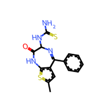 Cc1cc2c(s1)NC(=O)C(NC(N)=S)N=C2c1ccccc1